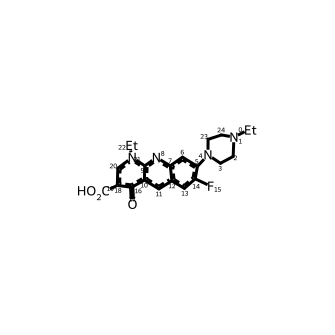 CCN1CCN(c2cc3nc4c(cc3cc2F)c(=O)c(C(=O)O)cn4CC)CC1